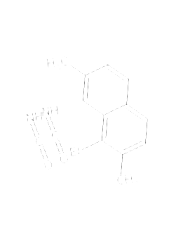 CCc1c(C)ccc2ccc(C)cc12.N=C=O.N=C=O